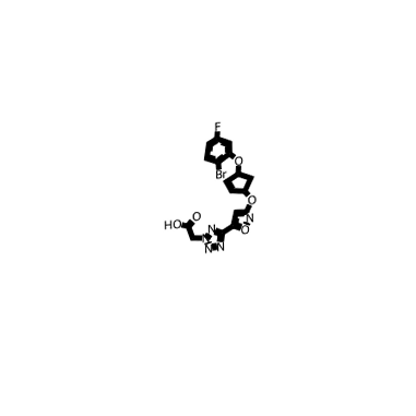 O=C(O)Cn1nnc(-c2cc(OC3C=CC(Oc4cc(F)ccc4Br)C3)no2)n1